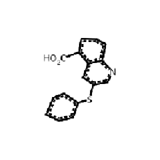 O=C(O)c1cccc2ncc(Sc3ccccc3)cc12